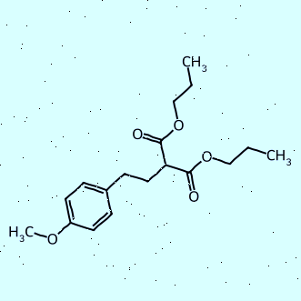 CCCOC(=O)C(CCc1ccc(OC)cc1)C(=O)OCCC